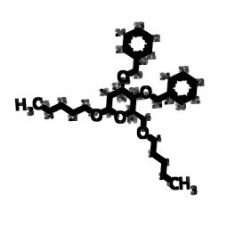 CCCCCOC[C@H]1OC(OCCCCC)C[C@H](OCc2ccccc2)[C@H]1OCc1ccccc1